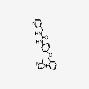 Cc1nccn1-c1ccccc1COc1ccc(NC(=O)NCc2cccnc2)cc1